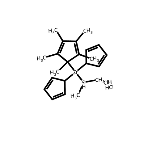 CC1=C(C)[C](C)([Zr]([CH]2C=CC=C2)([CH]2C=CC=C2)[SiH](C)C)C(C)=C1C.Cl.Cl